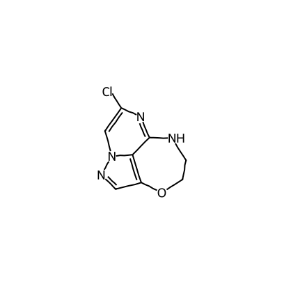 Clc1cn2ncc3c2c(n1)NCCO3